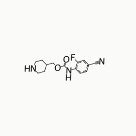 N#Cc1ccc(NC(=O)OCC2CCNCC2)c(F)c1